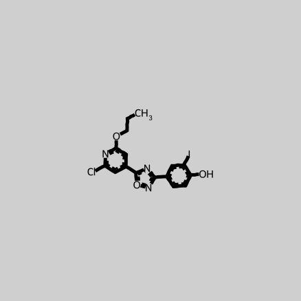 CCCOc1cc(-c2nc(-c3ccc(O)c(I)c3)no2)cc(Cl)n1